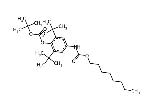 CCCCCCCCOC(=O)Nc1cc(C(C)(C)C)c(OC(=O)OC(C)(C)C)c(C(C)(C)C)c1